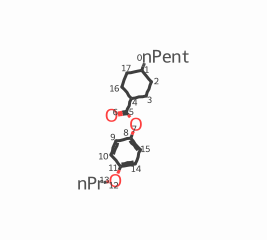 CCCCCC1CCC(C(=O)Oc2ccc(OCCC)cc2)CC1